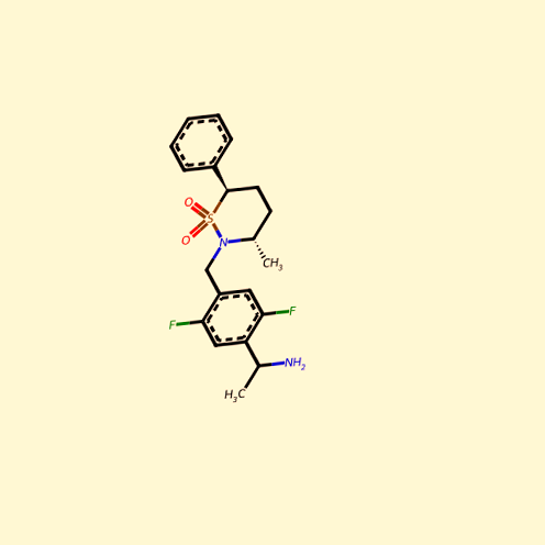 CC(N)c1cc(F)c(CN2[C@@H](C)CC[C@H](c3ccccc3)S2(=O)=O)cc1F